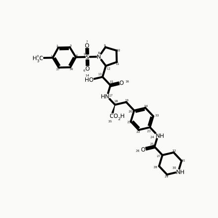 Cc1ccc(S(=O)(=O)N2CCCC2C(O)C(=O)N[C@@H](Cc2ccc(NC(=O)C3CCNCC3)cc2)C(=O)O)cc1